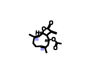 C=C1C(=O)O[C@@H]2/C=C(\C)CC/C=C(\C)C[C@@H](OC(C)=O)C12